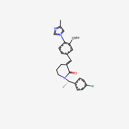 COc1cc(C=C2CCCN([C@@H](C)c3ccc(F)cc3)C2=O)ccc1-n1cnc(C)c1